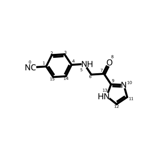 N#Cc1ccc(NCC(=O)c2ncc[nH]2)cc1